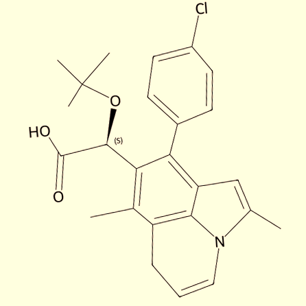 Cc1c([C@H](OC(C)(C)C)C(=O)O)c(-c2ccc(Cl)cc2)c2cc(C)n3c2c1CC=C3